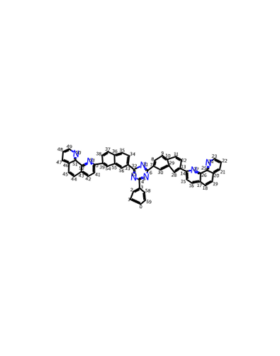 c1ccc(-c2nc(-c3ccc4ccc(-c5ccc6ccc7cccnc7c6n5)cc4c3)nc(-c3ccc4ccc(-c5ccc6ccc7cccnc7c6n5)cc4c3)n2)cc1